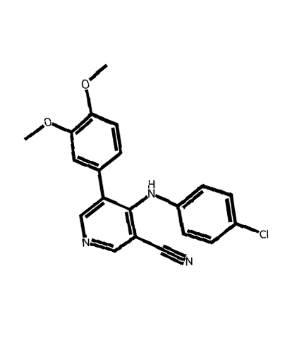 COc1ccc(-c2cncc(C#N)c2Nc2ccc(Cl)cc2)cc1OC